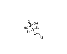 CCC(CC)(OCCl)P(=O)(O)O